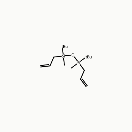 C=CC[Si](C)(O[Si](C)(CC=C)C(C)(C)C)C(C)(C)C